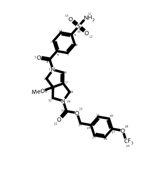 COC12CN(C(=O)c3ccc(S(N)(=O)=O)cc3)C=C1CN(C(=O)OCc1ccc(OC(F)(F)F)cc1)C2